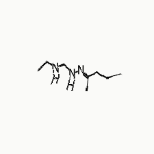 CCC/C(C)=N/NCNCC